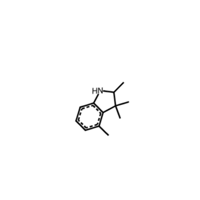 Cc1cccc2c1C(C)(C)C(C)N2